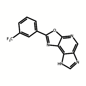 FC(F)(F)c1cccc(-c2nc3c(ncc4nc[nH]c43)o2)c1